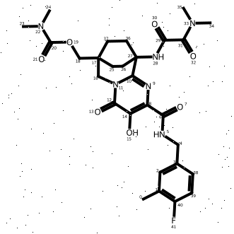 Cc1cc(CNC(=O)c2nc3n(c(=O)c2O)CC2(COC(=O)N(C)C)CCC3(NC(=O)C(=O)N(C)C)CC2)ccc1F